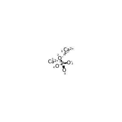 O=P([O-])([O-])[O-].[Ca+2].[Ca+2].[F-]